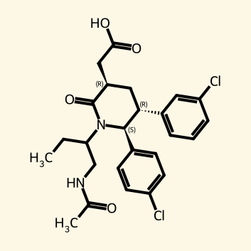 CCC(CNC(C)=O)N1C(=O)[C@@H](CC(=O)O)C[C@H](c2cccc(Cl)c2)[C@H]1c1ccc(Cl)cc1